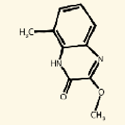 COc1nc2cccc(C)c2[nH]c1=O